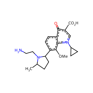 COc1c(C2CCC(C)N2CCN)ccc2c(=O)c(C(=O)O)cn(C3CC3)c12